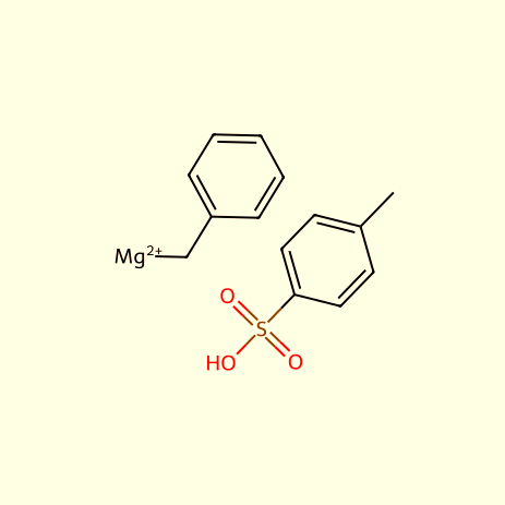 Cc1ccc(S(=O)(=O)O)cc1.[Mg+2][CH2]c1ccccc1